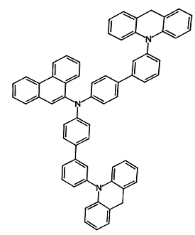 c1cc(-c2ccc(N(c3ccc(-c4cccc(N5c6ccccc6Cc6ccccc65)c4)cc3)c3cc4ccccc4c4ccccc34)cc2)cc(N2c3ccccc3Cc3ccccc32)c1